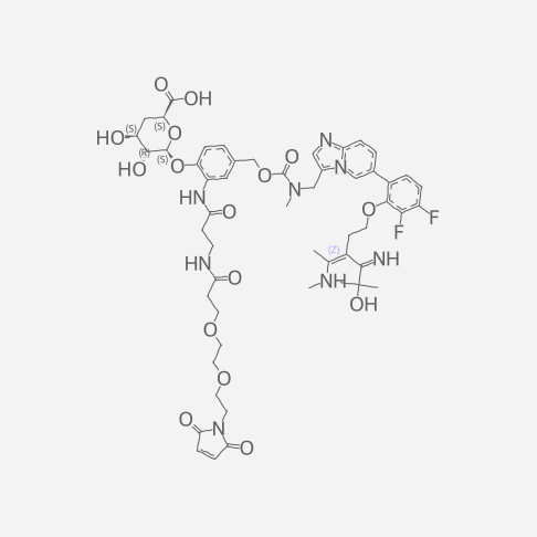 CN/C(C)=C(/CCOc1c(-c2ccc3ncc(CN(C)C(=O)OCc4ccc(O[C@@H]5O[C@H](C(=O)O)C[C@H](O)[C@H]5O)c(NC(=O)CCNC(=O)CCOCCOCCN5C(=O)C=CC5=O)c4)n3c2)ccc(F)c1F)C(=N)C(C)(C)O